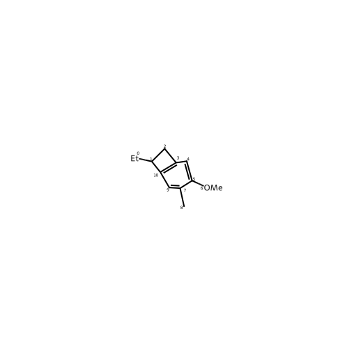 CCC1Cc2cc(OC)c(C)cc21